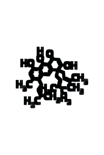 CC(C)=CCc1c(C)cc(O)c2c(O)c3c(cc12)C(CC=C(C)C)(CC=C(C)C)C(O)=CC3=O